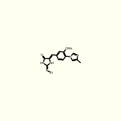 CC/N=C1/NC(=O)/C(=C/c2ccc(-n3cnc(C)c3)c(OC)c2)N1